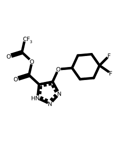 O=C(OC(=O)C(F)(F)F)c1[nH]nnc1OC1CCC(F)(F)CC1